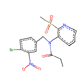 CCC(=O)N(Cc1ccc(Br)c([N+](=O)[O-])c1)c1cccnc1S(C)(=O)=O